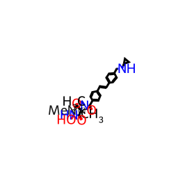 CNC(=O)[C@@](C)(C(=O)NO)N(C)C(=O)c1ccc(C=Cc2ccc(CNC3CC3)cc2)cc1